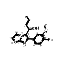 C/C=C/C(O)c1c(-c2ccc(F)c(OC)c2)nc2sccn12